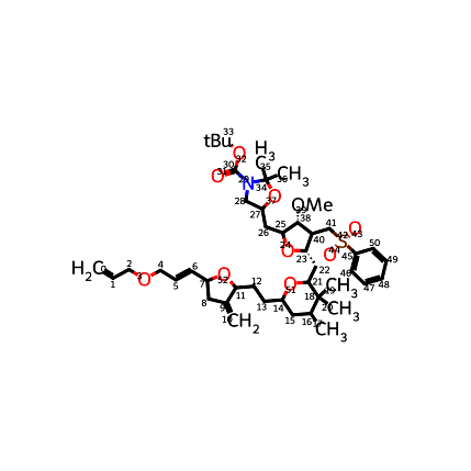 C=CCOC/C=C/C1CC(=C)C(CCC2CC(C)C(C)(C)C(C[C@@H]3OC(CC4CN(C(=O)OC(C)(C)C)C(C)(C)O4)[C@H](OC)C3CS(=O)(=O)c3ccccc3)O2)O1